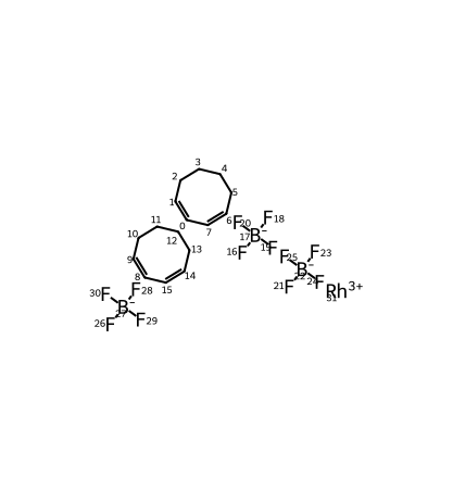 C1=CCCCCC=C1.C1=CCCCCC=C1.F[B-](F)(F)F.F[B-](F)(F)F.F[B-](F)(F)F.[Rh+3]